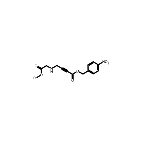 CC(C)OC(=O)CNCC#CC(=O)OCc1ccc([N+](=O)[O-])cc1